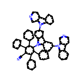 N#Cc1c(-c2ccccc2)c(-c2ccccc2)c(-n2c3ccc(-n4c5ccccc5c5ccncc54)cc3c3cc(-n4c5ccccc5c5ccncc54)ccc32)c(-c2ccccc2)c1-c1ccccc1